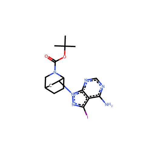 CC(C)(C)OC(=O)N1CC2CCC1C(n1nc(I)c3c(N)ncnc31)C2